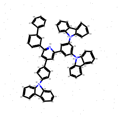 c1ccc(-c2cccc(-c3cc(-c4ccc(-n5c6ccccc6c6ccccc65)cc4)cc(-c4cc(-n5c6ccccc6c6ccccc65)cc(-n5c6ccccc6c6ccccc65)c4)n3)c2)cc1